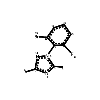 Cc1nc(C)n(-c2c(F)cccc2Br)n1